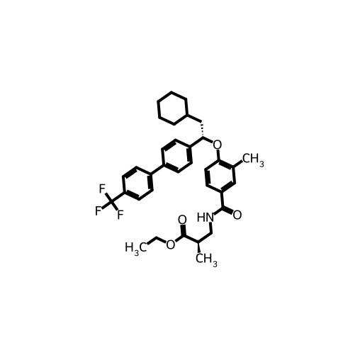 CCOC(=O)[C@H](C)CNC(=O)c1ccc(O[C@@H](CC2CCCCC2)c2ccc(-c3ccc(C(F)(F)F)cc3)cc2)c(C)c1